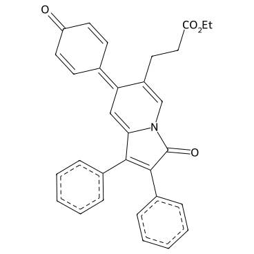 CCOC(=O)CCC1=CN2C(=O)C(c3ccccc3)=C(c3ccccc3)C2=CC1=C1C=CC(=O)C=C1